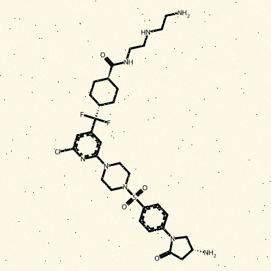 NCCNCCNC(=O)[C@H]1CC[C@H](C(F)(F)c2cc(Cl)nc(N3CCN(S(=O)(=O)c4ccc(N5C[C@H](N)CC5=O)cc4)CC3)c2)CC1